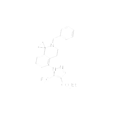 CCOC(=O)c1cnn(-c2cccc3c2CCN(Cc2ccccc2)C32CC2)c1C(F)(F)F